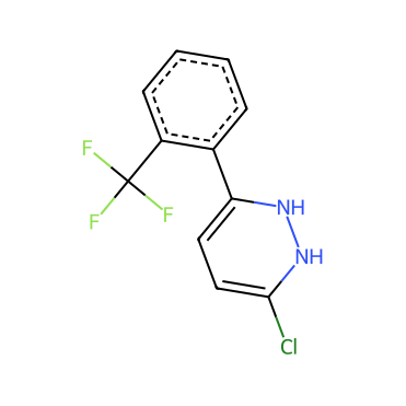 FC(F)(F)c1ccccc1C1=CC=C(Cl)NN1